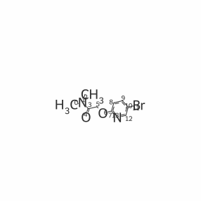 CN(C)C(=O)COc1ccc(Br)cn1